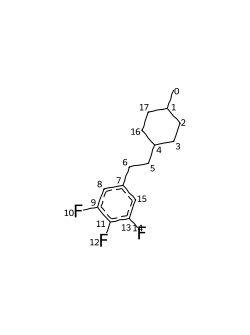 CC1CCC(CCc2cc(F)c(F)c(F)c2)CC1